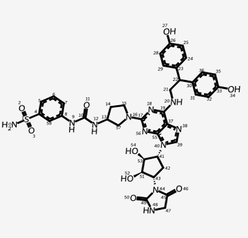 NS(=O)(=O)c1cccc(NC(=O)NC2CCN(c3nc(NCC(c4ccc(O)cc4)c4ccc(O)cc4)c4ncn([C@@H]5C[C@H](N6C(=O)CNC6=O)[C@@H](O)[C@H]5O)c4n3)C2)c1